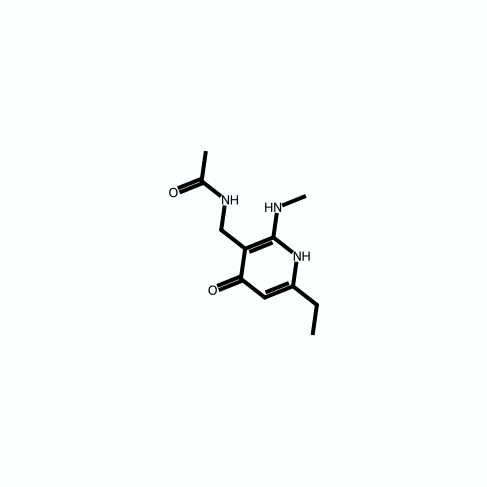 CCc1cc(=O)c(CNC(C)=O)c(NC)[nH]1